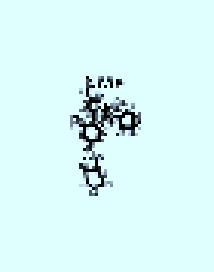 CNCc1cc(-c2ccc(OCC3CCCCC3)cc2F)n(S(=O)(=O)c2cccnc2)c1